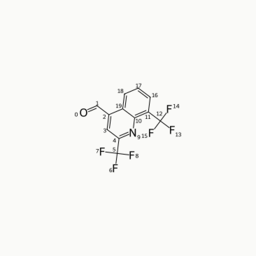 O=Cc1cc(C(F)(F)F)nc2c(C(F)(F)F)cccc12